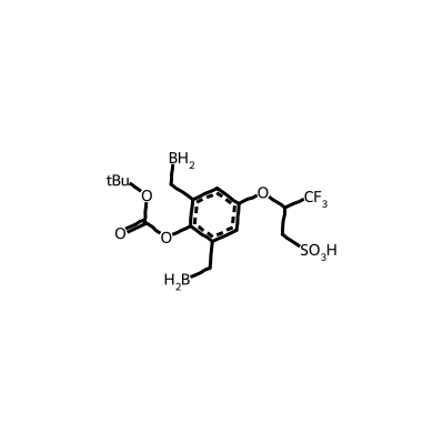 BCc1cc(OC(CS(=O)(=O)O)C(F)(F)F)cc(CB)c1OC(=O)OC(C)(C)C